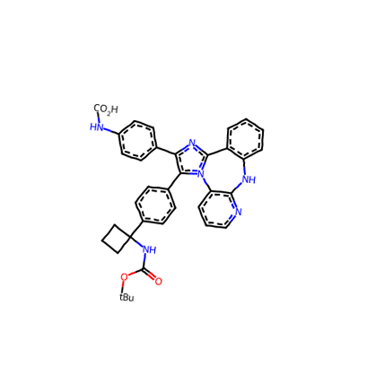 CC(C)(C)OC(=O)NC1(c2ccc(-c3c(-c4ccc(NC(=O)O)cc4)nc4n3-c3cccnc3Nc3ccccc3-4)cc2)CCC1